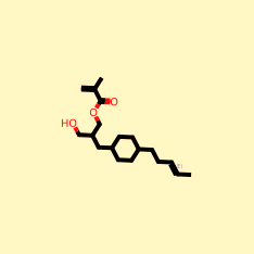 C=C(C)C(=O)OCC(CO)CC1CCC(CC/C=C/C)CC1